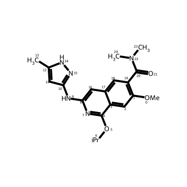 COc1cc2c(OC(C)C)nc(Nc3cc(C)[nH]n3)cc2cc1C(=O)N(C)C